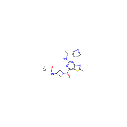 Cc1nc2nc(NC(C)c3cccnc3)nc(C(=O)N3CC(NC(=O)C4(C)CC4)C3)c2s1